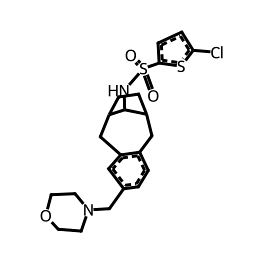 O=S(=O)(NC1C2CCC1Cc1cc(CN3CCOCC3)ccc1C2)c1ccc(Cl)s1